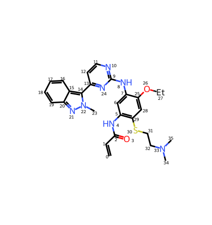 C=CC(=O)Nc1cc(Nc2nccc(-c3c4ccccc4nn3C)n2)c(OCC)cc1SCCN(C)C